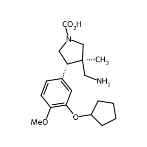 COc1ccc([C@@H]2CN(C(=O)O)C[C@@]2(C)CN)cc1OC1CCCC1